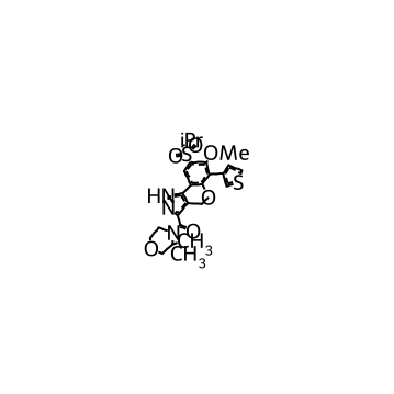 COc1c(S(=O)(=O)C(C)C)cc2c(c1-c1ccsc1)OCc1c(C(=O)N3CCOCC3(C)C)n[nH]c1-2